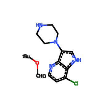 CC(C)(C)OC=O.Clc1ccnc2c(N3CCNCC3)c[nH]c12